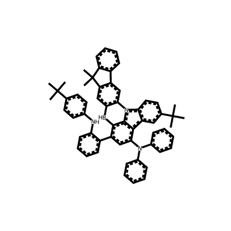 CC(C)(C)c1ccc(Nc2ccccc2-c2cc(N(c3ccccc3)c3ccccc3)c3c4cc(C(C)(C)C)ccc4n4c3c2Bc2cc3c(cc2-4)-c2ccccc2C3(C)C)cc1